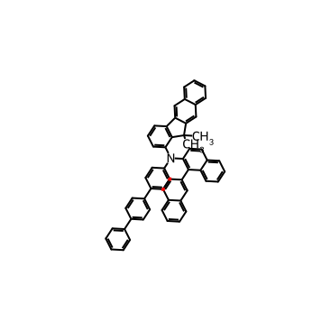 CC1(C)c2cc3ccccc3cc2-c2cccc(N(c3ccc(-c4ccc(-c5ccccc5)cc4)cc3)c3ccc4ccccc4c3-c3ccc4ccccc4c3)c21